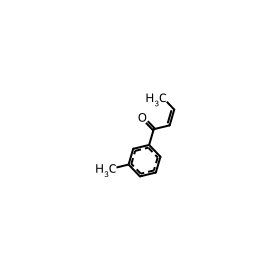 C/C=C\C(=O)c1cccc(C)c1